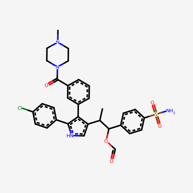 CC(c1c[nH]c(-c2ccc(Cl)cc2)c1-c1cccc(C(=O)N2CCN(C)CC2)c1)C(OC=O)c1ccc(S(N)(=O)=O)cc1